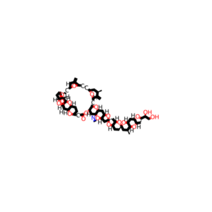 C=NC12C[C@H]3OC(=O)CC4CC[C@@H]5O[C@@H]6[C@H]7O[C@@H]8C[C@](CC[C@H]9CC(=C)C(CCC%10C[C@@H](C)C(=C)[C@@H](CC3O[C@H]1C[C@H]1O[C@]3(C[C@@H]%11O[C@@]%12(CC[C@@H]%11O3)C[C@H](C)[C@@H]3O[C@@H]%11C[C@@H]([C@@H](O)CO)O[C@@H]%11C[C@@H]3O%12)C[C@H]1O2)O%10)O9)(O[C@H]7[C@H]5O4)O[C@H]68